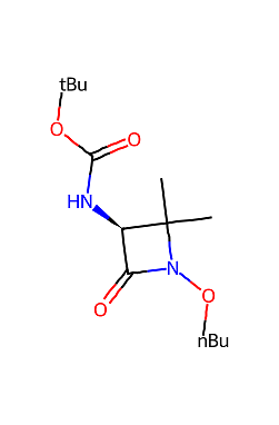 CCCCON1C(=O)[C@@H](NC(=O)OC(C)(C)C)C1(C)C